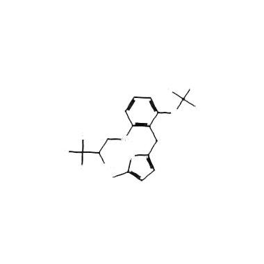 OC(CNc1cccc(OC(F)(F)F)c1Cc1ccc(Cl)s1)C(F)(F)F